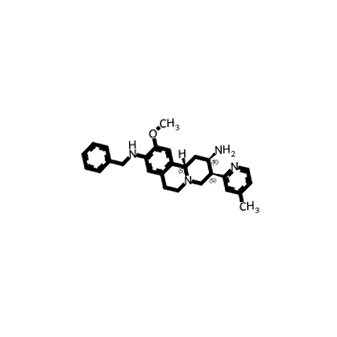 COc1cc2c(cc1NCc1ccccc1)CCN1C[C@H](c3cc(C)ccn3)[C@H](N)C[C@@H]21